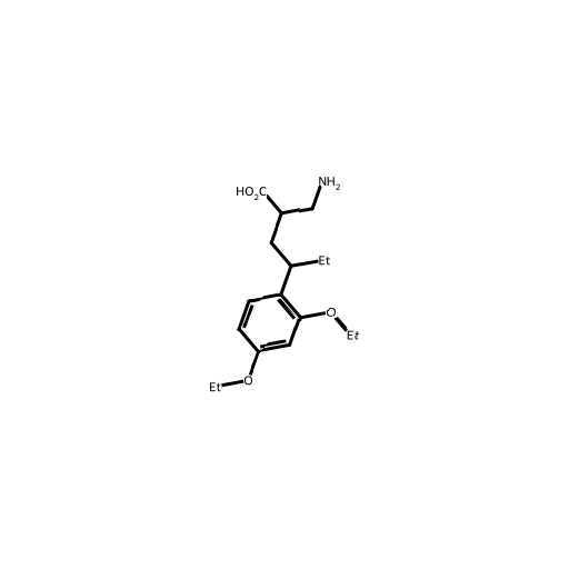 CCOc1ccc(C(CC)CC(CN)C(=O)O)c(OCC)c1